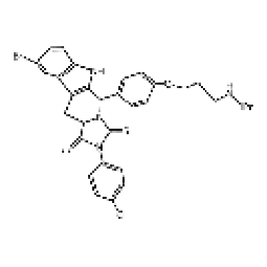 CC(C)NCCCOc1ccc(C2c3[nH]c4ccc(Br)cc4c3CC3C(=O)N(c4ccc(Cl)cc4)C(=S)N32)cc1